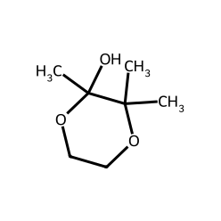 CC1(C)OCCOC1(C)O